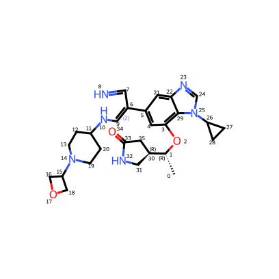 C[C@@H](Oc1cc(/C(C=N)=C/NC2CCN(C3COC3)CC2)cc2ncn(C3CC3)c12)[C@H]1CNC(=O)C1